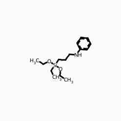 CCO[Si](CC)(CCCNc1ccccc1)OCC